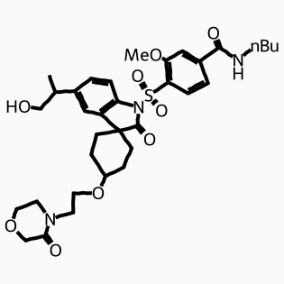 CCCCNC(=O)c1ccc(S(=O)(=O)N2C(=O)C3(CCC(OCCN4CCOCC4=O)CC3)c3cc(C(C)CO)ccc32)c(OC)c1